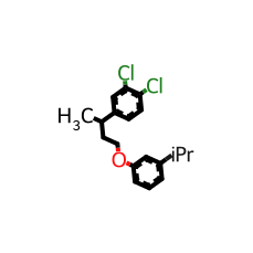 CC(C)c1cccc(OCCC(C)c2ccc(Cl)c(Cl)c2)c1